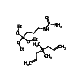 C=CC[Si](C)(C)CC=C.CCO[Si](CCCNC(N)=O)(OCC)OCC